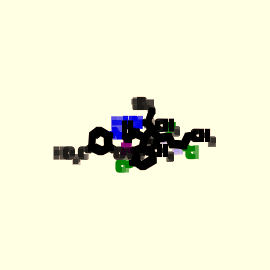 C=C/C(Cl)=C\C(F)=C(/C)[C@@]1(C)[C@H](CC(C)(C)C)N[C@H]2C(Nc3ccc(C(=O)O)cc3OC)=Pc3c(Cl)cccc3[C@@H]21